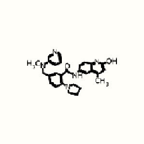 Cc1cc(O)nc2ccc(NC(=O)c3cc(CN(C)c4cccnc4)ccc3N3CCCC3)cc12